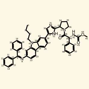 CCCCn1c2cc(N=C(c3ccccc3)c3ccccc3)ccc2c2ccc(-c3cnc(C4CCCN4C(=O)[C@H](NC(=O)OC)c4ccccc4)[nH]3)cc21